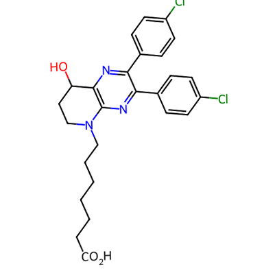 O=C(O)CCCCCCN1CCC(O)c2nc(-c3ccc(Cl)cc3)c(-c3ccc(Cl)cc3)nc21